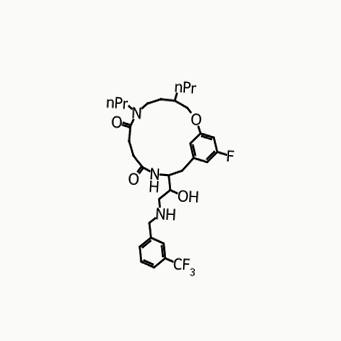 CCCC1CCN(CCC)C(=O)CCC(=O)NC(C(O)CNCc2cccc(C(F)(F)F)c2)Cc2cc(F)cc(c2)OC1